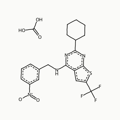 O=C(O)O.O=[N+]([O-])c1cccc(CNc2nc(C3CCCCC3)nc3sc(C(F)(F)F)cc23)c1